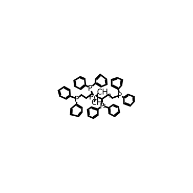 [CH3][Pd]([CH3])([CH](CCP(c1ccccc1)c1ccccc1)P(c1ccccc1)c1ccccc1)[CH](CCP(c1ccccc1)c1ccccc1)P(c1ccccc1)c1ccccc1